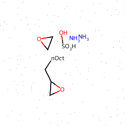 C1CO1.CCCCCCCCCC1CO1.N.N.O=S(=O)(O)O